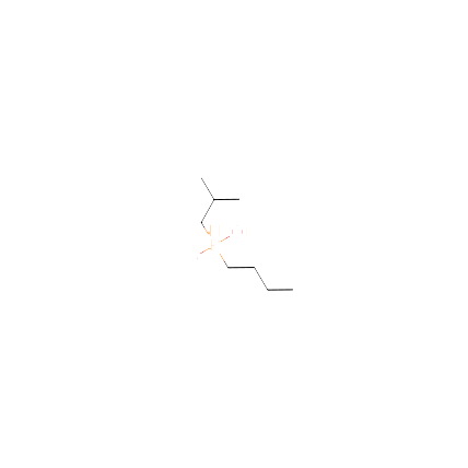 CCCC[PH](O)(O)CC(C)C